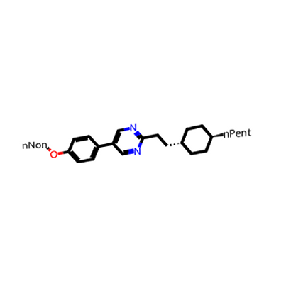 CCCCCCCCCOc1ccc(-c2cnc(CC[C@H]3CC[C@H](CCCCC)CC3)nc2)cc1